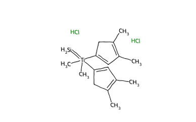 CC1=C(C)C[C]([Ti]([CH3])([CH3])(=[SiH2])[C]2=CC(C)=C(C)C2)=C1.Cl.Cl